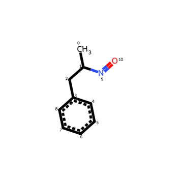 CC(Cc1ccccc1)N=O